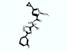 CC[C@H](NC(=O)c1cc(C2CC2)nn1C)c1nc(-c2cccc(F)c2)no1